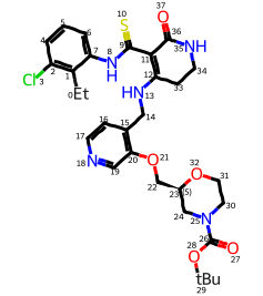 CCc1c(Cl)cccc1NC(=S)C1=C(NCc2ccncc2OC[C@@H]2CN(C(=O)OC(C)(C)C)CCO2)CCNC1=O